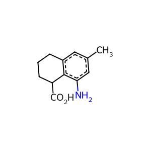 Cc1cc(N)c2c(c1)CCCC2C(=O)O